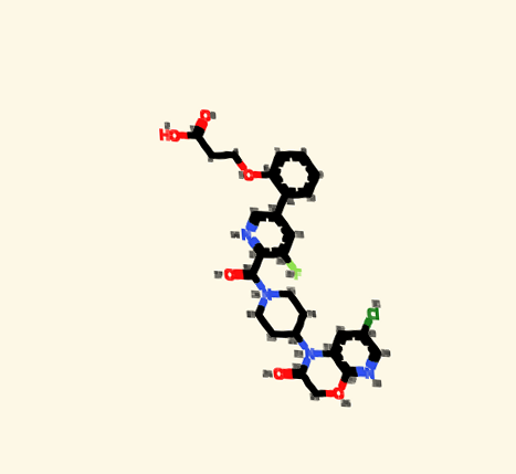 O=C(O)CCOc1ccccc1-c1cnc(C(=O)N2CCC(N3C(=O)COc4ncc(Cl)cc43)CC2)c(F)c1